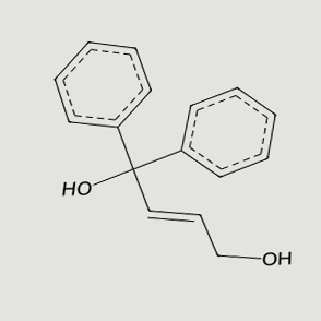 OCC=CC(O)(c1ccccc1)c1ccccc1